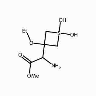 CCOC1(C(N)C(=O)OC)CS(O)(O)C1